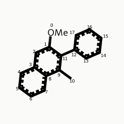 COc1cc2ccccc2c(C)c1-c1ccccc1